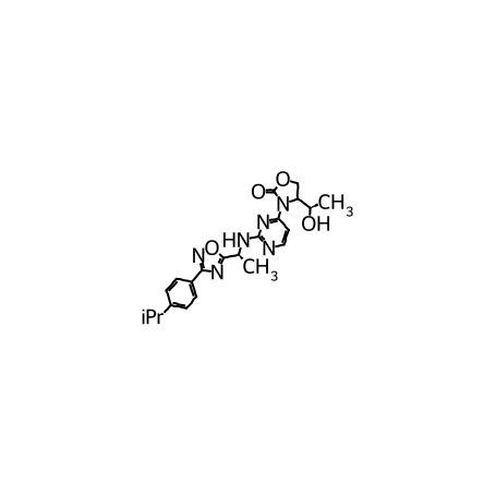 CC(C)c1ccc(-c2noc([C@H](C)Nc3nccc(N4C(=O)OCC4[C@@H](C)O)n3)n2)cc1